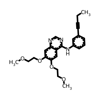 CCC#Cc1cccc(Nc2ncnc3cc(OCCOC)c(OCCOC)cc23)c1